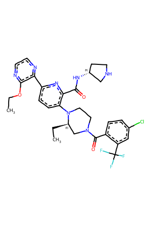 CCOc1nccnc1-c1ccc(N2CCN(C(=O)c3ccc(Cl)cc3C(F)(F)F)C[C@H]2CC)c(C(=O)N[C@@H]2CCNC2)n1